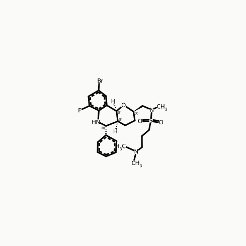 CN(C)CCCS(=O)(=O)N(C)C[C@H]1CC[C@@H]2[C@H](O1)c1cc(Br)cc(F)c1N[C@H]2c1ccccc1